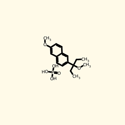 CCC(CC)(OC)c1ccc2cc(OC)ccc2c1.O=P(O)(O)O